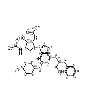 CCC(=O)N[C@H]1C[C@@H](n2cnc3c(N[C@H](CO)Cc4ccccc4)nc(NC4CCC(N)CC4)nc32)[C@H](OC(=O)C(F)(F)F)[C@@H]1O